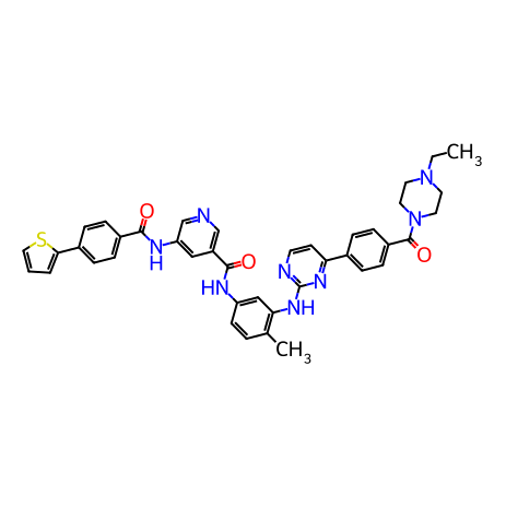 CCN1CCN(C(=O)c2ccc(-c3ccnc(Nc4cc(NC(=O)c5cncc(NC(=O)c6ccc(-c7cccs7)cc6)c5)ccc4C)n3)cc2)CC1